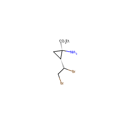 CCOC(=O)[C@@]1(N)C[C@H]1C(Br)CBr